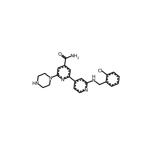 NC(=O)c1cc(-c2ccnc(NCc3ccccc3Cl)c2)nc(N2CCNCC2)c1